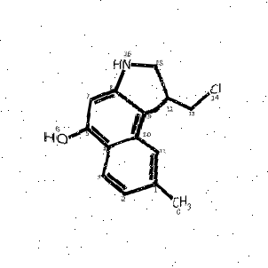 Cc1ccc2c(O)cc3c(c2c1)C(CCl)CN3